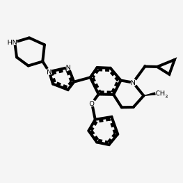 C[C@H]1CCc2c(ccc(-c3ccn(C4CCNCC4)n3)c2Oc2ccccc2)N1[C]C1CC1